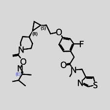 C=C(O/N=C(\C)C(C)C)N1CCC([C@H]2C[C@H]2CCOc2ccc(CC(=O)N(C)Cc3cscn3)c(F)c2)CC1